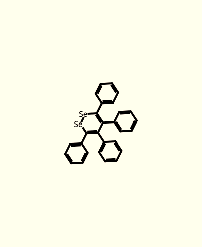 c1ccc(C2=C(c3ccccc3)C(c3ccccc3)=C(c3ccccc3)[Se][Se]2)cc1